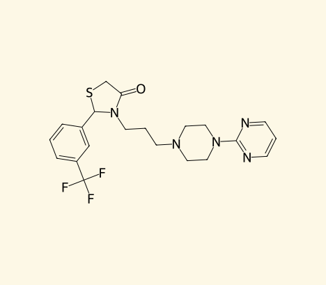 O=C1CSC(c2cccc(C(F)(F)F)c2)N1CCCN1CCN(c2ncccn2)CC1